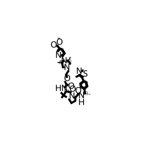 COC(=O)c1ccc(N2[C@H](C)CN(CCOCC(=O)N[C@H](C(=O)N3CCCC3C(=O)N[C@@H](C)c3ccc(-c4scnc4C)cc3)C(C)(C)C)C[C@@H]2C)nc1